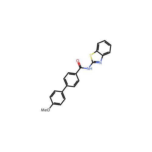 COc1ccc(-c2ccc(C(=O)Nc3nc4ccccc4s3)cc2)cc1